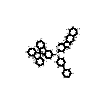 c1ccc(-c2ccc(N(c3ccc4c(c3)-c3ccccc3C43c4ccccc4-c4ccccc43)c3cc4oc5cc6ccccc6cc5c4cn3)cc2)cc1